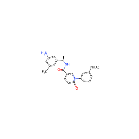 CC(=O)Nc1cccc(-n2cc(C(=O)N[C@H](C)c3cc(N)cc(C(F)(F)F)c3)ccc2=O)c1